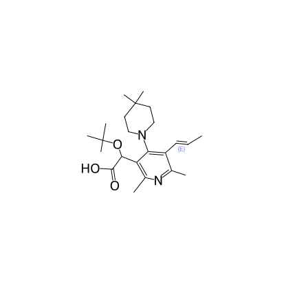 C/C=C/c1c(C)nc(C)c(C(OC(C)(C)C)C(=O)O)c1N1CCC(C)(C)CC1